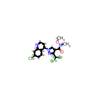 CON(C)C(=O)c1cn(-c2ccnc3cc(Cl)ccc23)nc1C(Br)Br